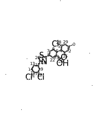 Cc1ccc(-c2ccc(-c3nc(-c4ccc(Cl)c(Cl)c4)cs3)cc2C(=O)O)c(Cl)c1